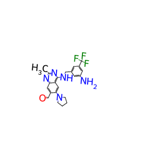 Cc1nc(NCc2cc(N)cc(C(F)(F)F)c2)c2cc(N3CCCC3)c(C=O)cc2n1